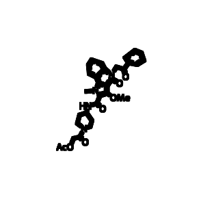 COc1c(C(=O)NC2CCN(C(=O)COC(C)=O)CC2)n(C)c2c1c(=O)n(CC(=O)c1ccccc1)c1ccccc21